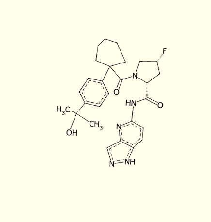 CC(C)(O)c1ccc(C2(C(=O)N3C[C@H](F)C[C@@H]3C(=O)Nc3ccc4[nH]ncc4n3)CCCCC2)cc1